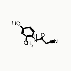 Cc1cc(O)ccc1NC(=O)CC#N